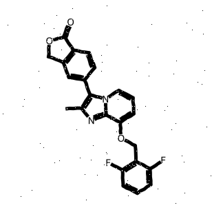 Cc1nc2c(OCc3c(F)cccc3F)cccn2c1-c1ccc2c(c1)COC2=O